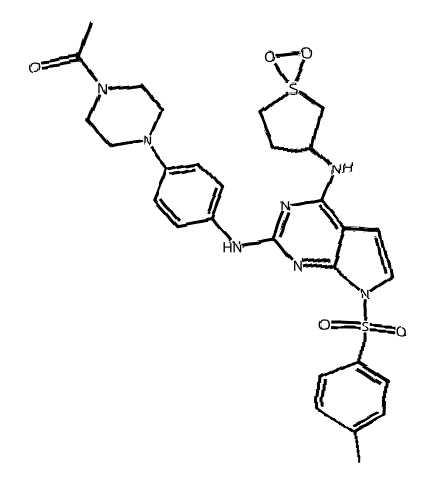 CC(=O)N1CCN(c2ccc(Nc3nc(NC4CCS5(C4)OO5)c4ccn(S(=O)(=O)c5ccc(C)cc5)c4n3)cc2)CC1